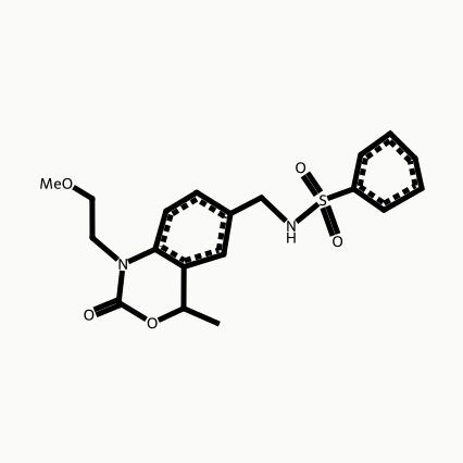 COCCN1C(=O)OC(C)c2cc(CNS(=O)(=O)c3ccccc3)ccc21